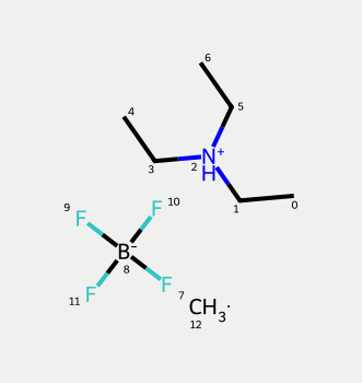 CC[NH+](CC)CC.F[B-](F)(F)F.[CH3]